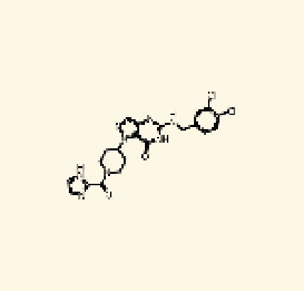 O=C(c1ncc[nH]1)N1CCC(n2ncc3nc(NCc4ccc(Cl)c(Cl)c4)[nH]c(=O)c32)CC1